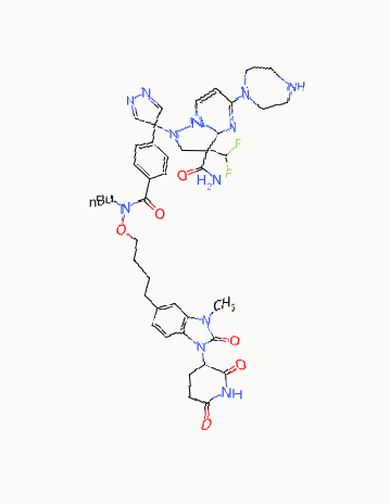 CCCCN(OCCCCc1ccc2c(c1)n(C)c(=O)n2C1CCC(=O)NC1=O)C(=O)c1ccc(C2(N3CC(C(N)=O)(C(F)F)C4N=C(N5CCNCC5)C=CN43)C=NN=C2)cc1